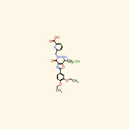 CCOc1ccc(-c2nc(C(=O)NCc3cccc(C(=O)O)n3)c(C(C)N)o2)cc1OCC.Cl.Cl